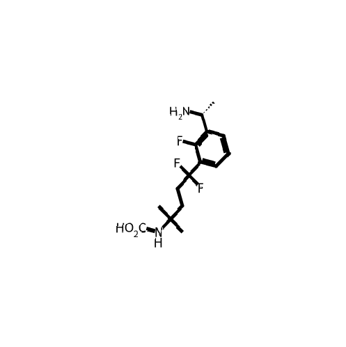 C[C@@H](N)c1cccc(C(F)(F)CCC(C)(C)NC(=O)O)c1F